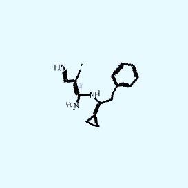 N=C/C(F)=C(\N)NC(Cc1ccccc1)=C1CC1